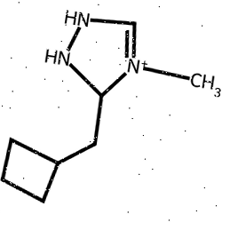 C[N+]1=CNNC1CC1CCC1